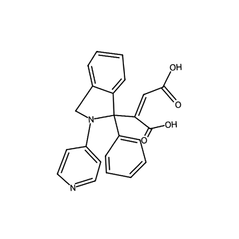 O=C(O)C=C(C(=O)O)C1(c2ccccc2)c2ccccc2CN1c1ccncc1